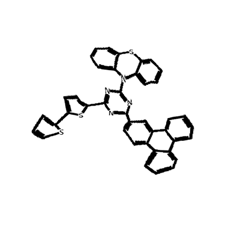 c1csc(-c2ccc(-c3nc(-c4ccc5c6ccccc6c6ccccc6c5c4)nc(N4c5ccccc5Sc5ccccc54)n3)s2)c1